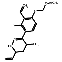 C=Cc1c(OCOC)ccc(C2=NNC(C=O)CC2C)c1F